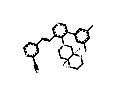 Cc1cc(F)cc(-c2cncc(C=Cc3ccnc(C#N)c3)c2N2CC[C@H]3NCCO[C@@H]3C2)c1